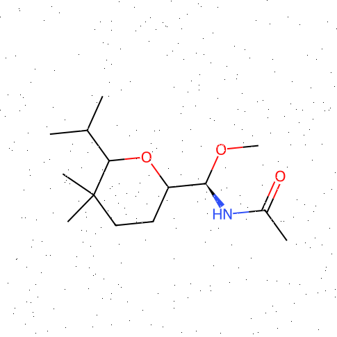 CO[C@@H](NC(C)=O)C1CCC(C)(C)C(C(C)C)O1